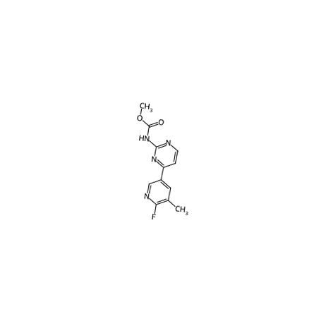 COC(=O)Nc1nccc(-c2cnc(F)c(C)c2)n1